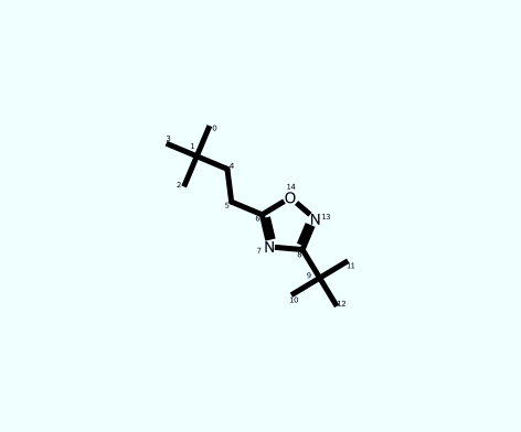 CC(C)(C)CCc1nc(C(C)(C)C)no1